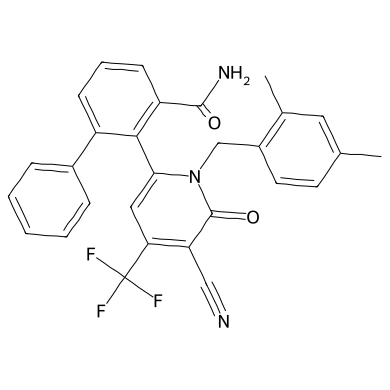 Cc1ccc(Cn2c(-c3c(C(N)=O)cccc3-c3ccccc3)cc(C(F)(F)F)c(C#N)c2=O)c(C)c1